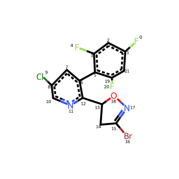 Fc1cc(F)c(-c2cc(Cl)cnc2C2CC(Br)=NO2)c(F)c1